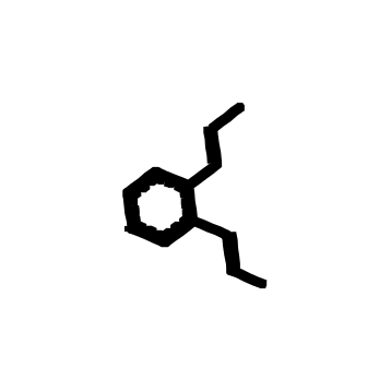 CC=Cc1c[c]ccc1C=CC